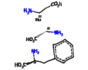 CC[C@H](C)[C@H](N)C(=O)O.NCC(=O)O.N[C@@H](Cc1ccccc1)C(=O)O